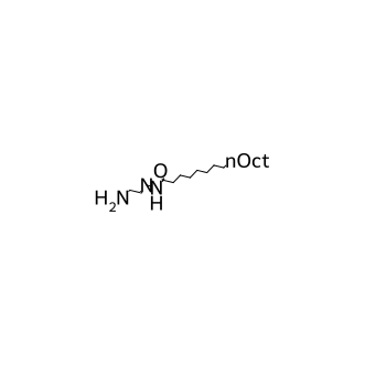 CCCCCCCCCCCCCCCC(=O)NN=CCN